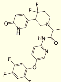 CC(C(=O)Nc1ccc(Oc2cc(F)c(F)cc2F)cn1)N1CCC(F)(F)C(c2ccc(=O)[nH]c2)C1